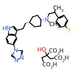 CC(CN(C)[C@H]1CC[C@@H](CCc2c[nH]c3ccc(-n4cnnc4)cc23)CC1)c1ccc(F)cc1.O=C(O)CC(O)(CC(=O)O)C(=O)O